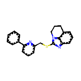 c1ccc(-c2cccc(CSc3nc4cccc5c4n3CCC5)n2)cc1